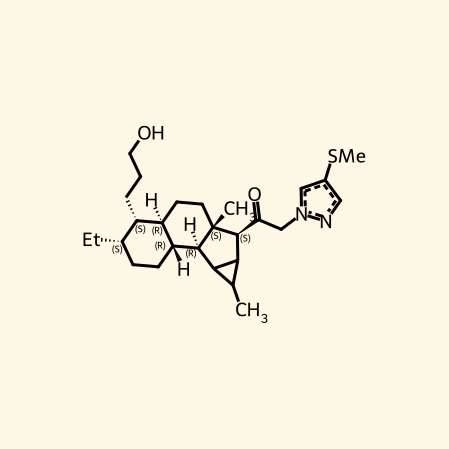 CC[C@H]1CC[C@@H]2[C@H](CC[C@]3(C)[C@@H](C(=O)Cn4cc(SC)cn4)C4C(C)C4[C@@H]23)[C@H]1CCCO